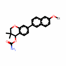 CCOc1ccc2cc(-c3ccc4c(c3)OCC(C)(C)C4OC(N)=O)ccc2c1